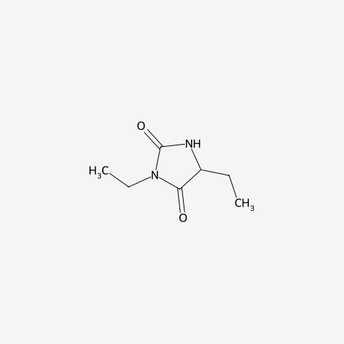 CCC1NC(=O)N(CC)C1=O